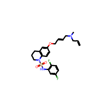 C=CCN(C)CC=CCOc1ccc2c(c1)CCCN2S(=O)(=O)Nc1cc(F)ccc1F